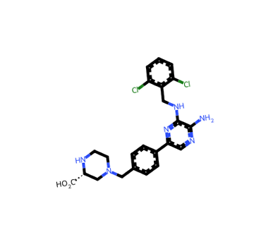 Nc1ncc(-c2ccc(CN3CCN[C@@H](C(=O)O)C3)cc2)nc1NCc1c(Cl)cccc1Cl